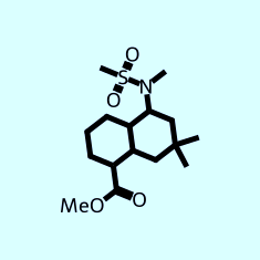 COC(=O)C1CCCC2C1CC(C)(C)CC2N(C)S(C)(=O)=O